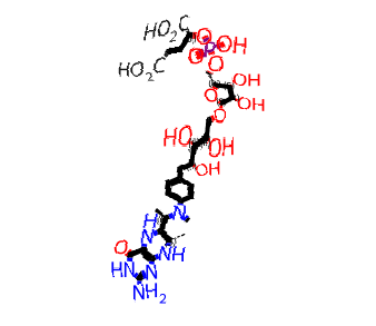 C[C@@H]1Nc2nc(N)[nH]c(=O)c2NC1[C@@H](C)N(C)c1ccc(C[C@H](O)[C@H](O)[C@H](O)CO[C@H]2O[C@H](COP(=O)(O)O[C@@H](CCC(=O)O)C(=O)O)[C@@H](O)[C@H]2O)cc1